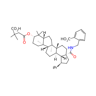 CC(C)[C@@H]1CC[C@]2(C(=O)NCc3ccccc3C(=O)O)CC[C@]3(C)[C@H](CC[C@@H]4[C@@]5(C)CC[C@H](OC(=O)CC(C)(C)C(=O)O)C(C)(C)[C@@H]5CC[C@]43C)[C@@H]12